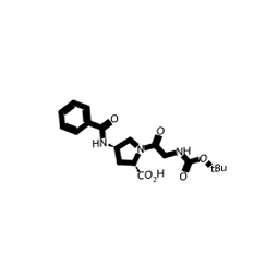 CC(C)(C)OC(=O)NCC(=O)N1C[C@@H](NC(=O)c2ccccc2)C[C@H]1C(=O)O